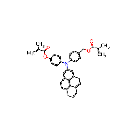 C=C(C)C(=O)OCc1ccc(N(c2ccc(OC(=O)C(=C)C)cc2)c2cc3c4c5c(ccc4c2)CC=CC5=CC3)cc1